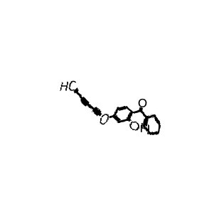 C#CC#CC#COc1ccc(C(=O)c2ccccc2)c(O)c1